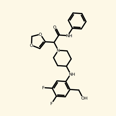 O=C(Nc1ccccc1)C(C1=COCO1)N1CCC(Nc2cc(F)c(F)cc2CO)CC1